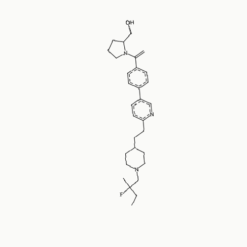 C=C(c1ccc(-c2ccc(CCC3CCN(CC(C)(F)CC)CC3)nc2)cc1)N1CCCC1CO